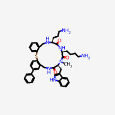 CN1C(=O)[C@H](CCCCN)NC(=O)[C@H](CCCN)NCc2ccccc2Sc2ccc(-c3ccccc3)cc2CNC(=O)[C@@H]1Cc1c[nH]c2ccccc12